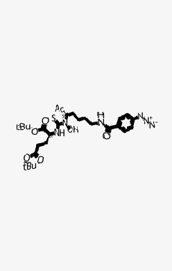 CC(=O)[C@H](CCCCNC(=O)c1ccc(N=[N+]=[N-])cc1)N(O)C(=S)N[C@@H](CCC(=O)OC(C)(C)C)C(=O)OC(C)(C)C